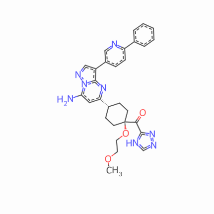 COCCO[C@]1(C(=O)c2nnc[nH]2)CC[C@@H](c2cc(N)n3ncc(-c4ccc(-c5ccccc5)nc4)c3n2)CC1